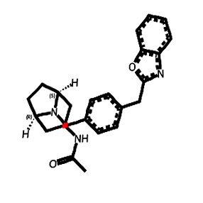 CC(=O)NC1C[C@H]2CC[C@@H](C1)N2Cc1ccc(Cc2nc3ccccc3o2)cc1